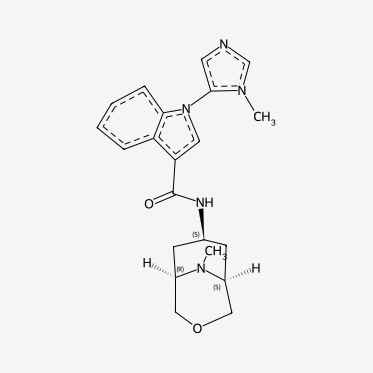 CN1[C@@H]2COC[C@H]1C[C@@H](NC(=O)c1cn(-c3cncn3C)c3ccccc13)C2